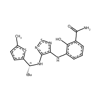 Cc1ccc([C@H](Nc2nsnc2Nc2cccc(C(N)=O)c2O)C(C)(C)C)s1